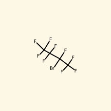 FC(F)(F)C(F)(F)C(F)(Br)C(F)(F)F